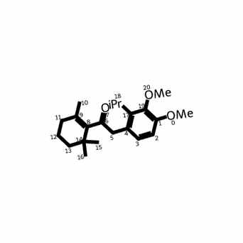 COc1ccc(CC(=O)C2=C(C)CCCC2(C)C)c(C(C)C)c1OC